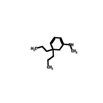 CCCC1(CCC)C=CC=C(NC)C1